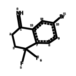 N=C1CCC(F)(F)c2ccc(Br)cc21